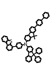 CC1(C)c2cc(-c3ccc(-c4ccccc4)cc3)ccc2-c2ccc(N(c3ccc(-c4cccc5c4sc4ccccc45)cc3)c3ccc4c(c3)-c3ccccc3C4(c3ccccc3)c3ccccc3)cc21